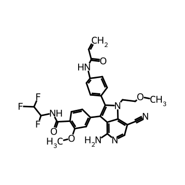 C=CC(=O)Nc1ccc(-c2c(-c3ccc(C(=O)NC(F)C(F)F)c(OC)c3)c3c(N)ncc(C#N)c3n2CCOC)cc1